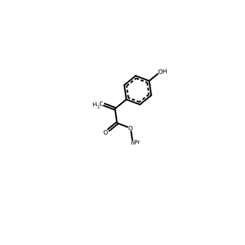 C=C(C(=O)OCCC)c1ccc(O)cc1